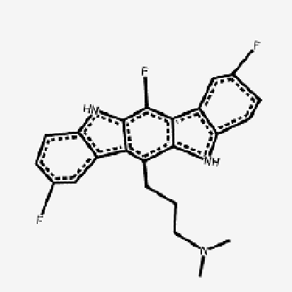 CN(C)CCCc1c2[nH]c3ccc(F)cc3c2c(F)c2[nH]c3ccc(F)cc3c12